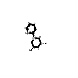 C[C@@H]1C[C@@H](C)CN(c2ccccn2)C1